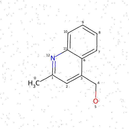 Cc1cc(C[O])c2ccccc2n1